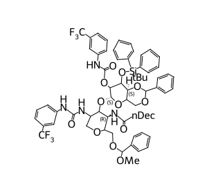 CCCCCCCCCCC(=O)N[C@H]1C(COC(OC)c2ccccc2)OCC(NC(=O)Nc2cccc(C(F)(F)F)c2)C1O[C@H]1OC2COC(c3ccccc3)O[C@@H]2C(O[Si](c2ccccc2)(c2ccccc2)C(C)(C)C)C1OC(=O)Nc1cccc(C(F)(F)F)c1